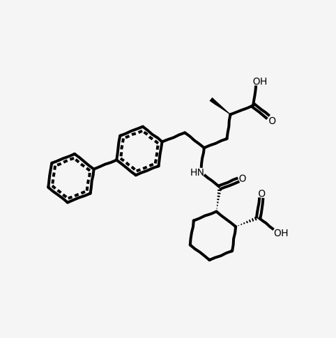 C[C@H](CC(Cc1ccc(-c2ccccc2)cc1)NC(=O)[C@H]1CCCC[C@H]1C(=O)O)C(=O)O